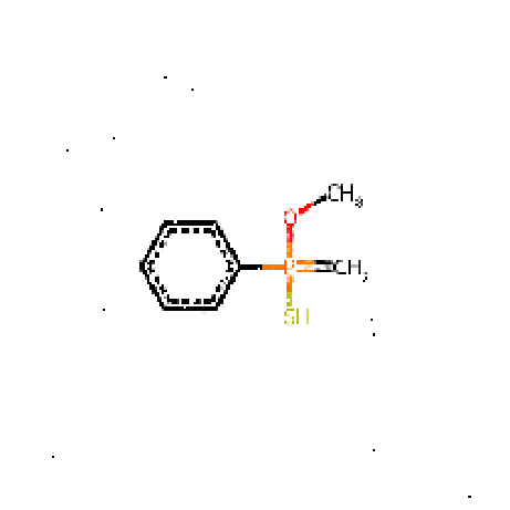 C=P(S)(OC)c1ccccc1